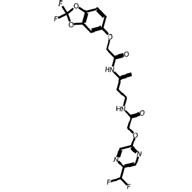 C=C(CCNC(=O)COc1cnc(C(F)F)cn1)NC(=O)COc1ccc2c(c1)OC(F)(F)O2